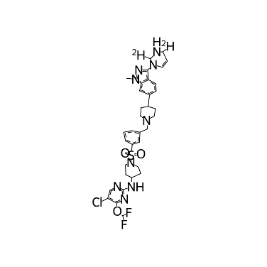 [2H]C1C=CN(c2nn(C)c3cc(C4CCN(Cc5cccc(S(=O)(=O)N6CCC(Nc7ncc(Cl)c(OC(F)F)n7)CC6)c5)CC4)ccc23)C([2H])N1